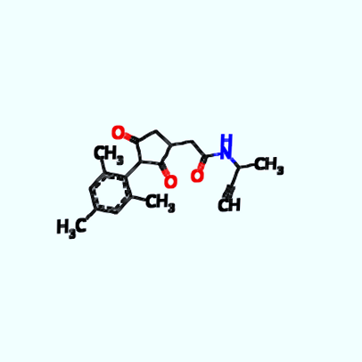 C#CC(C)NC(=O)CC1CC(=O)C(c2c(C)cc(C)cc2C)C1=O